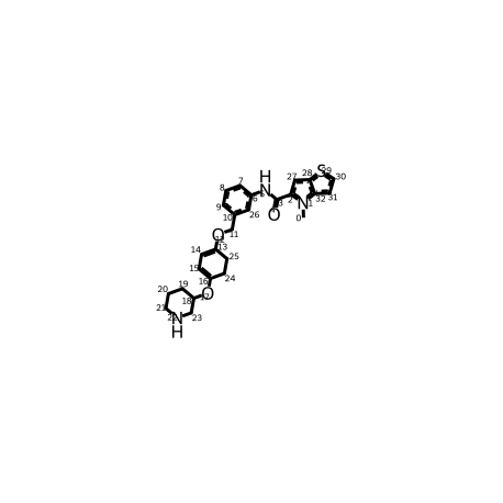 Cn1c(C(=O)Nc2cccc(COC3=CC=C(OC4CCCNC4)CC3)c2)cc2sccc21